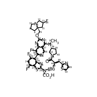 CN(c1nc(OC[C@@]23CCCN2CC(F)C3)nc2c(F)c(-c3c(F)cc(F)c4sc(N(C(=O)O)C(C)(C)C)nc34)ncc12)[C@@H]1CCN(C(=O)/C(F)=C/c2nccs2)C1